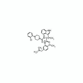 COc1ccc(CN(C)C)cc1NC(=O)[C@H](NC(=O)N1CCN(c2ccccc2Cl)CC1)[C@H](C)c1c[nH]c2ccccc12